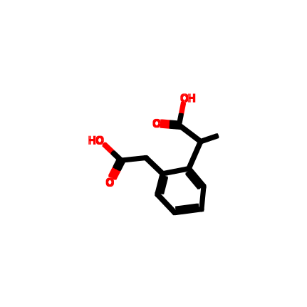 CC(C(=O)O)c1ccccc1CC(=O)O